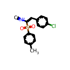 [C-]#[N+]/C(=C/c1ccc(Cl)cc1)S(=O)(=O)c1ccc(C)cc1